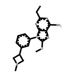 CCc1nc(N)c2nc(OC)n(-c3cccc(C4CN(C)C4)c3)c2n1